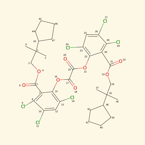 CC(C)(COC(=O)c1c(Cl)c(Cl)cc(Cl)c1OC(=O)C(=O)Oc1c(Cl)cc(Cl)c(Cl)c1C(=O)OCC(C)(C)C1CCCC1)C1CCCC1